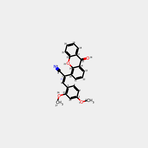 COc1ccc(/C=C(/C#N)c2cccc3c(=O)c4ccccc4oc23)c(OC)c1